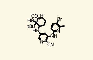 Cc1nc(Nc2cc(NC3CCCCC3(NC(=O)O)C(C)(C)C)cnc2C#N)ccc1Br